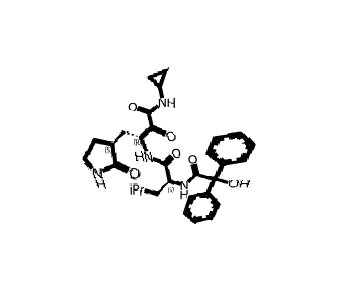 CC(C)C[C@H](NC(=O)C(O)(c1ccccc1)c1ccccc1)C(=O)N[C@H](C[C@@H]1CCNC1=O)C(=O)C(=O)NC1CC1